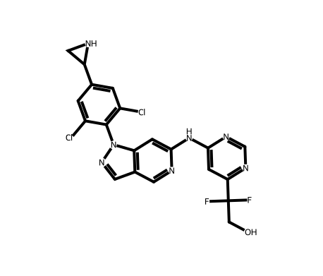 OCC(F)(F)c1cc(Nc2cc3c(cn2)cnn3-c2c(Cl)cc(C3CN3)cc2Cl)ncn1